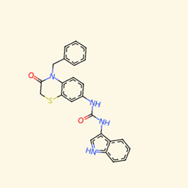 O=C(Nc1ccc2c(c1)SCC(=O)N2Cc1ccccc1)Nc1c[nH]c2ccccc12